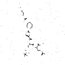 COCCOC(=O)N[C@@H]1CCCN(c2nc(C(=O)NC(CO[Si](C)(C)C(C)(C)C)C(=O)NC(COC(C)=O)C(=O)OC)cs2)C1